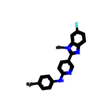 CCCn1c(-c2ccc(Nc3ccc(C)cc3)nc2)nc2ccc(F)cc21